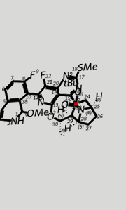 COC1NC=Cc2ccc(F)c(-c3nc4c5c(nc(SC)nc5c3F)N3C[C@H]5CC[C@@H]([C@H]3[C@H](C)O4)N5C(=O)OC(C)(C)C)c21